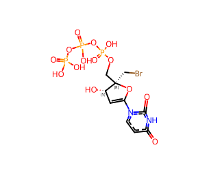 O=c1ccn(C2=C[C@H](O)[C@@](CBr)(COP(=O)(O)OP(=O)(O)OP(=O)(O)O)O2)c(=O)[nH]1